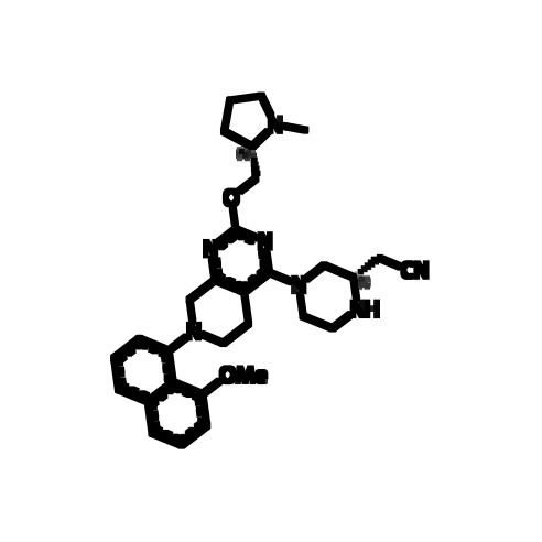 COc1cccc2cccc(N3CCc4c(nc(OC[C@@H]5CCCN5C)nc4N4CCN[C@@H](CC#N)C4)C3)c12